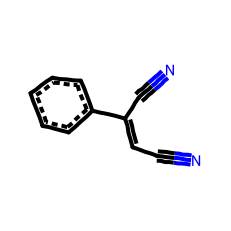 N#C/C=C(\C#N)c1ccccc1